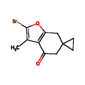 Cc1c(Br)oc2c1C(=O)CC1(CC1)C2